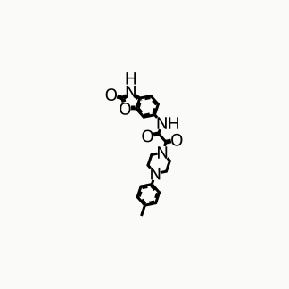 Cc1ccc(N2CCN(C(=O)C(=O)Nc3ccc4[nH]c(=O)oc4c3)CC2)cc1